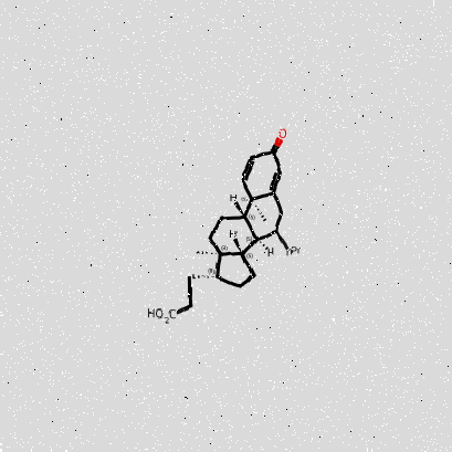 CCCC1CC2=CC(=O)C=C[C@]2(C)[C@H]2CC[C@]3(C)[C@@H](CCC(=O)O)CC[C@H]3[C@H]12